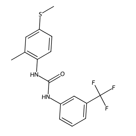 CSc1ccc(NC(=O)Nc2cccc(C(F)(F)F)c2)c(C)c1